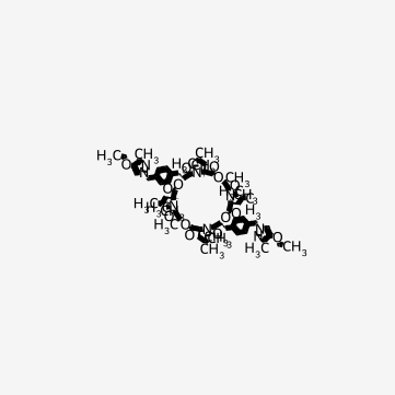 CCOc1cn(Cc2ccc(C[C@H]3OC(=O)[C@H](CC(C)C)N(C)C(=O)[C@@H](C)OC(=O)[C@H](CC(C)C)N(C)C(=O)[C@@H](Cc4ccc(Cn5cc(OCC)c(C)n5)cc4)OC(=O)[C@H](CC(C)C)N(C)C(=O)[C@@H](C)OC(=O)[C@H](CC(C)C)N(C)C3=O)cc2)nc1C